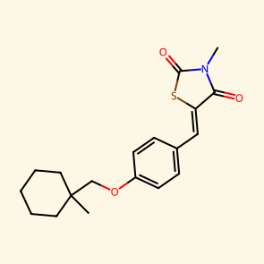 CN1C(=O)S/C(=C\c2ccc(OCC3(C)CCCCC3)cc2)C1=O